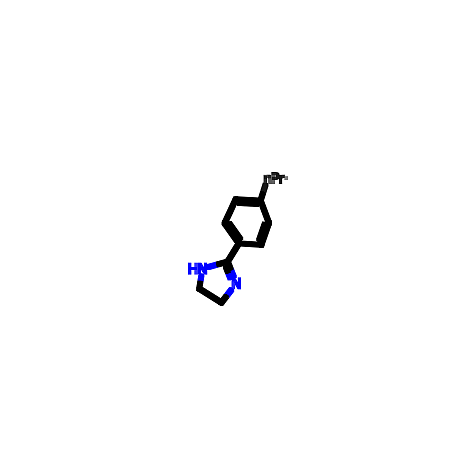 CC[CH]c1ccc(C2=NCCN2)cc1